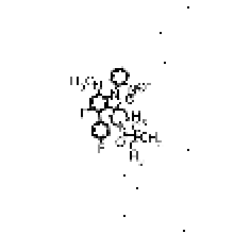 COc1cc(F)c(-c2ccc(F)cc2)c2c1N(c1ccccc1[N+](=O)[O-])CC21CCN(C(=O)C(C)(C)C)CC1